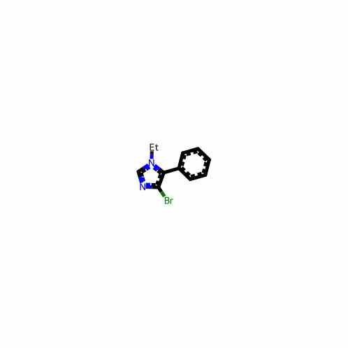 CCn1cnc(Br)c1-c1ccccc1